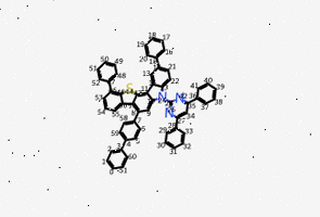 c1ccc(-c2ccc(-c3cc4c(c5cc(-c6ccccc6)ccc5n4-c4nc(-c5ccccc5)cc(-c5ccccc5)n4)c4sc5c(-c6ccccc6)cccc5c34)cc2)cc1